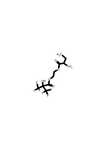 CCC(C)C(=O)OCCOC(=O)C(O)(C(F)(F)F)C(F)(F)F